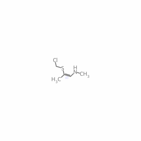 CN/C=C(/C)SCCl